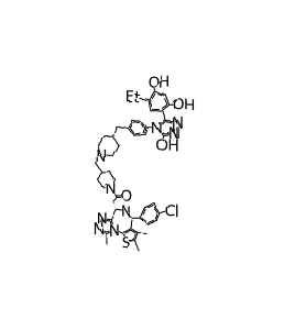 CCc1cc(-c2nnc(O)n2-c2ccc(CC3CCN(CC4CCN(C(=O)C[C@@H]5N=C(c6ccc(Cl)cc6)c6c(sc(C)c6C)-n6c(C)nnc65)CC4)CC3)cc2)c(O)cc1O